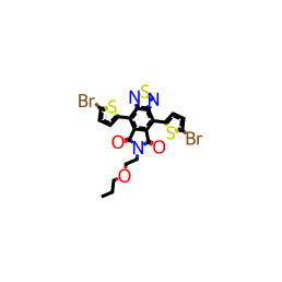 CCCOCCN1C(=O)c2c(c(-c3ccc(Br)s3)c3nsnc3c2-c2ccc(Br)s2)C1=O